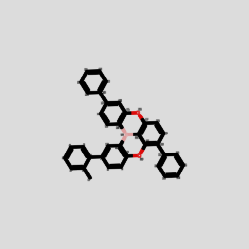 Cc1ccccc1-c1ccc2c(c1)B1c3ccc(-c4ccccc4)cc3Oc3ccc(-c4ccccc4)c(c31)O2